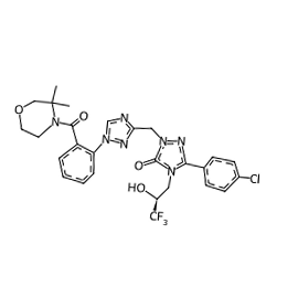 CC1(C)COCCN1C(=O)c1ccccc1-n1cnc(Cn2nc(-c3ccc(Cl)cc3)n(C[C@H](O)C(F)(F)F)c2=O)n1